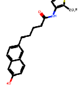 O=C(CCCCc1ccc2cc(O)ccc2c1)Nc1ccsc1C(=O)O